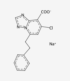 O=C([O-])c1c(Cl)cc(CCc2ccccc2)n2ncnc12.[Na+]